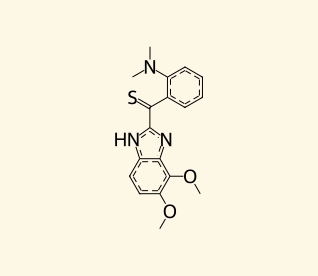 COc1ccc2[nH]c(C(=S)c3ccccc3N(C)C)nc2c1OC